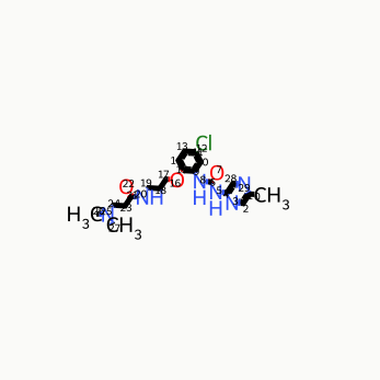 Cc1cnc(NC(=O)Nc2cc(Cl)ccc2OCCCNC(=O)CCN(C)C)cn1